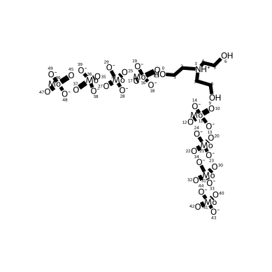 OCC[NH+](CCO)CCO.[O]=[Mo](=[O])([O-])[O-].[O]=[Mo](=[O])([O-])[O-].[O]=[Mo](=[O])([O-])[O-].[O]=[Mo](=[O])([O-])[O-].[O]=[Mo](=[O])([O-])[O-].[O]=[Mo](=[O])([O-])[O-].[O]=[Mo](=[O])([O-])[O-].[O]=[Mo](=[O])([O-])[O-]